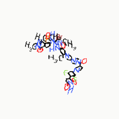 CCOc1cc(N2CCC(N3CCN(C(=O)C4CCN(c5cc(F)c(C6CCC(=O)NC6=O)c(F)c5)C4)CC3)CC2)c(CC)cc1Nc1ncc(Br)c(Nc2ccc3c(=O)n(C)ncc3c2P(C)(C)=O)n1